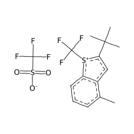 Cc1cccc2c1cc(C(C)(C)C)[s+]2C(F)(F)F.O=S(=O)([O-])C(F)(F)F